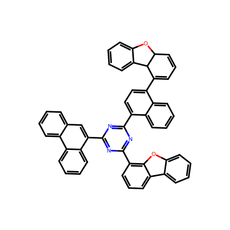 C1=CC2Oc3ccccc3C2C(c2ccc(-c3nc(-c4cc5ccccc5c5ccccc45)nc(-c4cccc5c4oc4ccccc45)n3)c3ccccc23)=C1